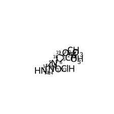 CC(C)(Oc1ccc(N2CC3CNCCN3C2=O)cc1)C(=O)O.Cl